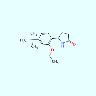 CCOc1cc(C(C)(C)C)ccc1C1CCC(=O)N1